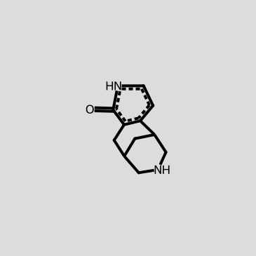 O=c1[nH]ccc2c1CC1CNCC2C1